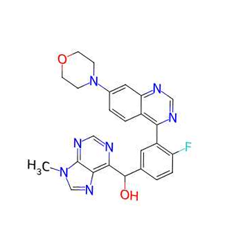 Cn1cnc2c(C(O)c3ccc(F)c(-c4ncnc5cc(N6CCOCC6)ccc45)c3)ncnc21